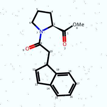 COC(=O)[C@@H]1CCCN1C(=O)CC1C=Cc2ccccc21